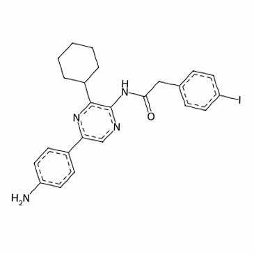 Nc1ccc(-c2cnc(NC(=O)Cc3ccc(I)cc3)c(C3CCCCC3)n2)cc1